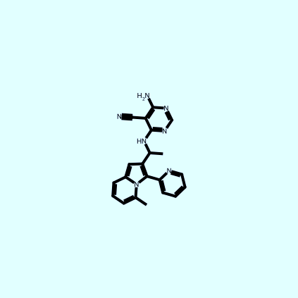 Cc1cccc2cc(C(C)Nc3ncnc(N)c3C#N)c(-c3ccccn3)n12